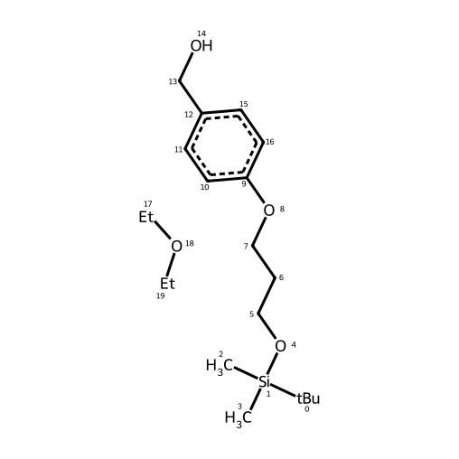 CC(C)(C)[Si](C)(C)OCCCOc1ccc(CO)cc1.CCOCC